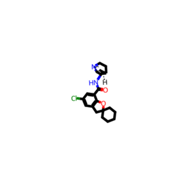 O=C(N[C@H]1CN2CCC1CC2)c1cc(Cl)cc2c1OC1(CCCCC1)C2